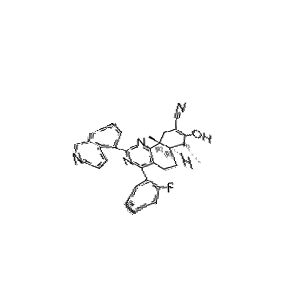 C[C@H]1C(O)=C(C#N)C[C@@]2(C)c3nc(-c4cccc5cnccc45)nc(-c4ccccc4F)c3CC[C@H]12